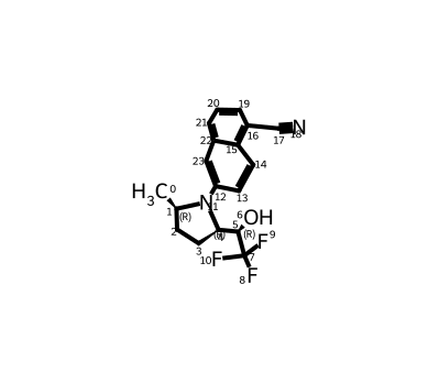 C[C@@H]1CC[C@H]([C@@H](O)C(F)(F)F)N1c1ccc2c(C#N)cccc2c1